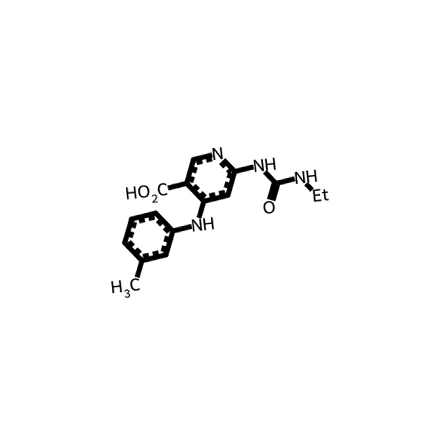 CCNC(=O)Nc1cc(Nc2cccc(C)c2)c(C(=O)O)cn1